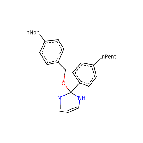 CCCCCCCCCc1ccc(COC2(c3ccc(CCCCC)cc3)N=CC=CN2)cc1